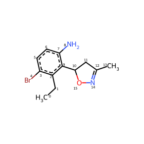 CCc1c(Br)ccc(N)c1C1CC(C)=NO1